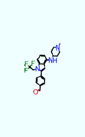 CN1CCC(Nc2cccc3c2cc(-c2ccc(C=O)cc2)n3CC(F)(F)F)CC1